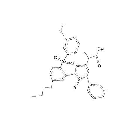 CCCCc1ccc(S(=O)(=O)c2cccc(OC)c2)c(-c2cn(C(C)C(=O)O)cc(-c3ccccc3)c2=S)c1